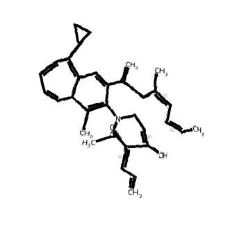 C=C/C=C(C(C)=O)\C(O)=C/CN(C)C1=C(C)C2C=CC=CC(C3CC3)=C2C=C1C(=C)C/C(C)=C\C=C/C